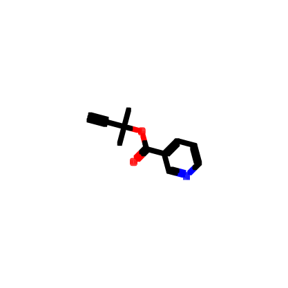 C#CC(C)(C)OC(=O)c1cccnc1